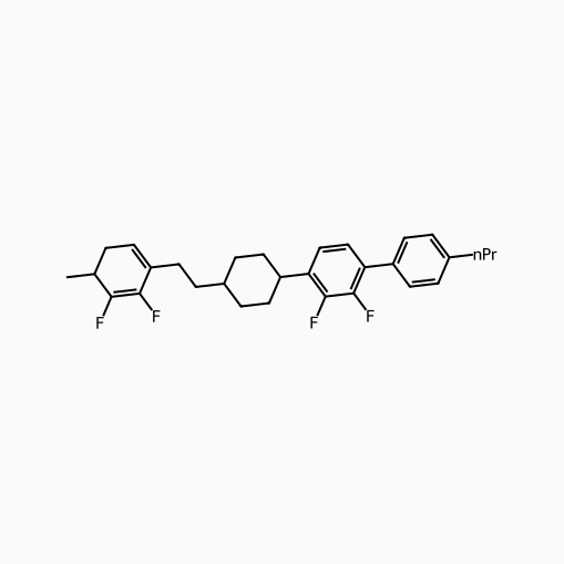 CCCc1ccc(-c2ccc(C3CCC(CCC4=CCC(C)C(F)=C4F)CC3)c(F)c2F)cc1